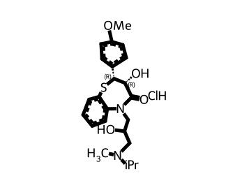 COc1ccc([C@H]2Sc3ccccc3N(CC(O)CN(C)C(C)C)C(=O)[C@H]2O)cc1.Cl